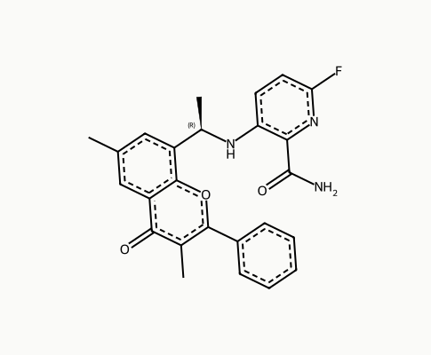 Cc1cc([C@@H](C)Nc2ccc(F)nc2C(N)=O)c2oc(-c3ccccc3)c(C)c(=O)c2c1